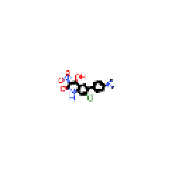 CN(C)c1ccc(-c2cc3c(O)c([N+](=O)[O-])c(=O)[nH]c3cc2Cl)cc1